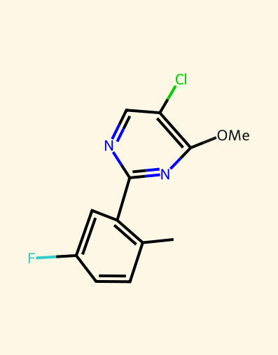 COc1nc(-c2cc(F)ccc2C)ncc1Cl